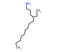 CCCCCCCCCC(CC)CCCN